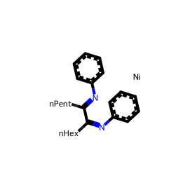 CCCCCCC(=Nc1ccccc1)C(CCCCC)=Nc1ccccc1.[Ni]